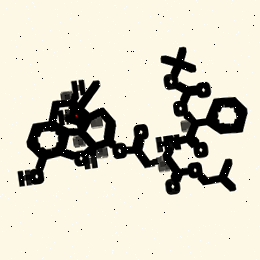 CC(C)COC(=O)[C@H](CC(=O)OC1=CC[C@@]2(O)[C@H]3Cc4ccc(O)c5c4[C@@]2(CCN3C)[C@H]1O5)NC(=O)[C@@H](OC(=O)OC(C)(C)C)c1ccccc1